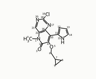 Cn1c(=O)c(OCC2CC2)c(-c2ccc[nH]2)c2nc(Cl)ncc21